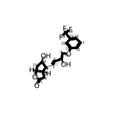 O=C1C[C@@H]2[C@@H](/C=C/[C@H](O)COc3cccc(C(F)(F)F)c3)[C@H](O)C[C@@H]2O1